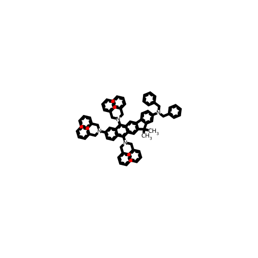 CC1(C)c2cc(N(Cc3ccccc3)Cc3ccccc3)ccc2-c2cc3c(N(Cc4ccccc4)Cc4ccccc4)c4cc(N(Cc5ccccc5)Cc5ccccc5)ccc4c(N(Cc4ccccc4)Cc4ccccc4)c3cc21